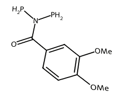 COc1ccc(C(=O)N(P)P)cc1OC